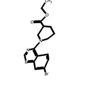 CCOC(=O)C1CCCN(c2ncnc3cc(Br)ccc23)C1